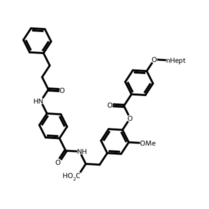 CCCCCCCOc1ccc(C(=O)Oc2ccc(CC(NC(=O)c3ccc(NC(=O)CCc4ccccc4)cc3)C(=O)O)cc2OC)cc1